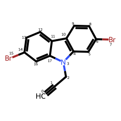 C#CCn1c2cc(Br)ccc2c2ccc(Br)cc21